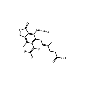 C/C(=C\Cc1c(N=C=O)c2c(c(C)c1C(F)=C(F)F)COC2=O)CCC(=O)O